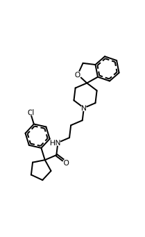 O=C(NCCCN1CCC2(CC1)OCc1ccccc12)C1(c2ccc(Cl)cc2)CCCC1